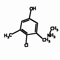 CN.Cc1cc(O)cc(C)c1Cl